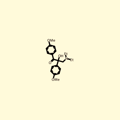 CCN(CC)CC(O)(C(=O)c1ccc(OC)cc1)c1ccc(OC)cc1